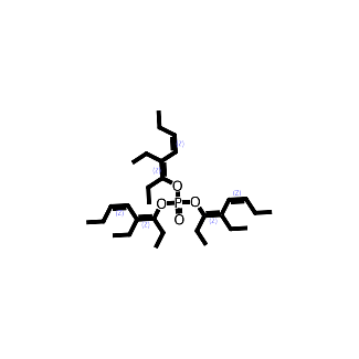 CC/C=C\C(CC)=C(\CC)OP(=O)(O/C(CC)=C(\C=C/CC)CC)O/C(CC)=C(\C=C/CC)CC